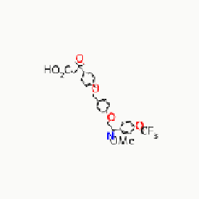 CO/N=C(/COc1ccc(COc2ccc(C3(CC(=O)O)COC3)cc2)cc1)c1ccc(OC(F)(F)F)cc1